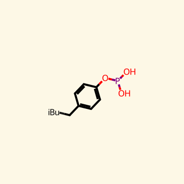 CCC(C)Cc1ccc(OP(O)O)cc1